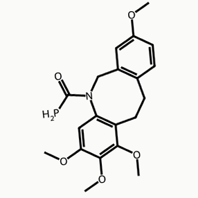 COc1ccc2c(c1)CN(C(=O)P)c1cc(OC)c(OC)c(OC)c1CC2